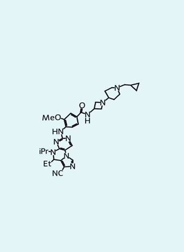 CCC1c2c(C#N)ncn2-c2cnc(Nc3ccc(C(=O)NC4CN(C5CCN(CC6CC6)CC5)C4)cc3OC)nc2N1C(C)C